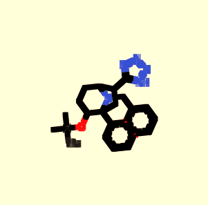 CC(C)(C)[Si](C)(C)OC1CCC2C(c3nnn[nH]3)CC1(c1ccccc1)N2Cc1ccccc1